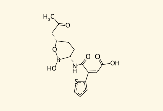 CC(=O)C[C@@H]1CC[C@H](NC(=O)/C(=C\C(=O)O)c2cccs2)B(O)O1